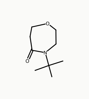 CC(C)(C)N1CCOCCC1=O